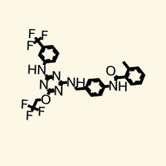 Cc1ccccc1C(=O)Nc1ccc(CNc2nc(Nc3cccc(C(F)(F)F)c3)nc(OCC(F)(F)F)n2)cc1